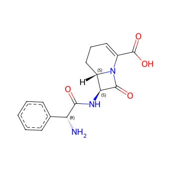 N[C@@H](C(=O)N[C@@H]1C(=O)N2C(C(=O)O)=CCC[C@@H]12)c1ccccc1